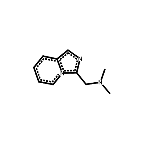 CN(C)Cc1ncc2ccccn12